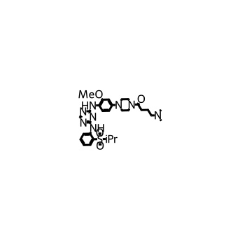 COc1cc(N2CCN(C(=O)CCCN(C)C)CC2)ccc1Nc1ncnc(Nc2ccccc2S(=O)(=O)C(C)C)n1